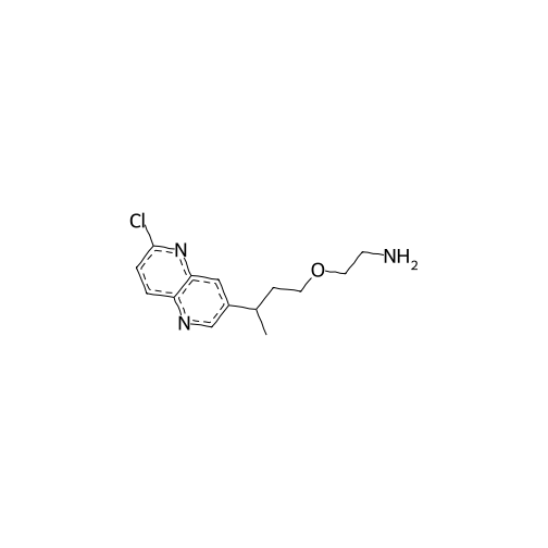 CC(CCOCCN)c1cnc2ccc(Cl)nc2c1